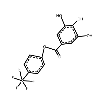 O=C(Oc1ccc(S(F)(F)(F)(F)F)cc1)c1cc(O)c(O)c(O)c1